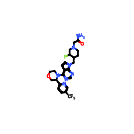 NC(=O)CN1CCC(Cn2ccc3c(N4CCOCC4c4ccc(C(F)(F)F)cn4)ncnc32)C(F)C1